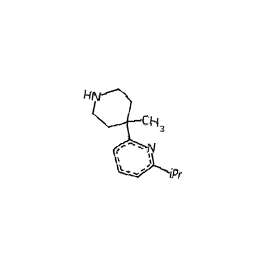 CC(C)c1cccc(C2(C)CCNCC2)n1